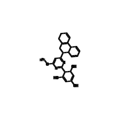 CCCOc1cc(C2CC3=C(C=CCC3)C3C=CC=CC32)nc(C2C(O)=CC(O)=CC2O)n1